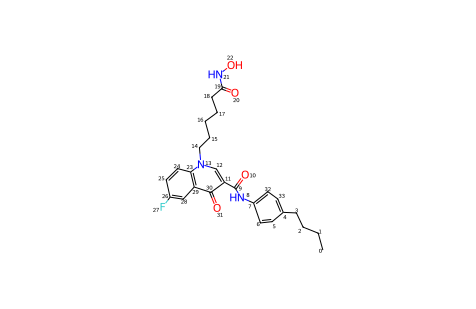 CCCCc1ccc(NC(=O)c2cn(CCCCCC(=O)NO)c3ccc(F)cc3c2=O)cc1